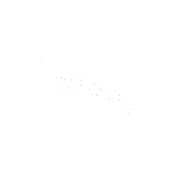 O=[SH](=O)Cc1ccc(-c2ccc(-c3cc4cc(CC5CCC(CO)CC5)[nH]c4cc3Cl)cc2)cc1